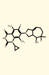 Cc1c(F)c(N2CC3=CCCC(F)(F)C(O)C3C2)c(C)c2c1c(=O)[nH]c(=O)n2C1CC1